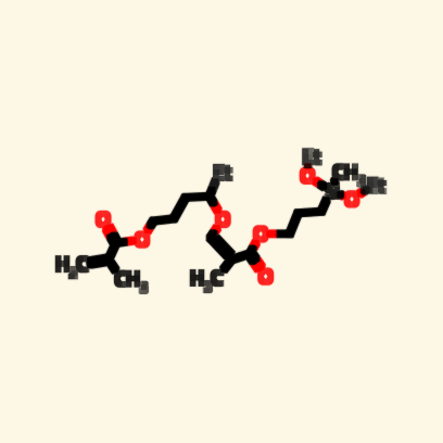 C=C(C)C(=O)OCCCC(CC)OC=C(C)C(=O)OCCC[Si](C)(OCC)OCC